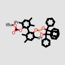 Cc1cc(C(C)C)c(OC(=O)OC(C)(C)C)c(-c2c(C)c(C)cc(C(C)C)c2OP2OC(c3ccccc3)(c3ccccc3)C(c3ccccc3)(c3ccccc3)O2)c1C